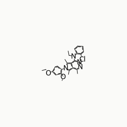 CCOc1ccc(-n2c(C)c3c(C)nnc(N(CC)c4ccccc4Cl)c3c2C)c(OC)c1